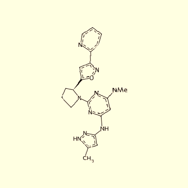 CNc1cc(Nc2cc(C)[nH]n2)nc(N2CCC[C@H]2c2cc(-c3ccccn3)no2)n1